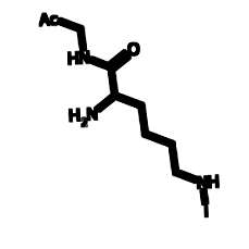 CC(=O)CNC(=O)C(N)CCCCNI